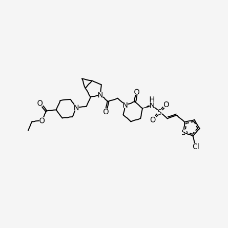 CCOC(=O)C1CCN(CC2C3CC3CN2C(=O)CN2CCC[C@H](NS(=O)(=O)/C=C/c3ccc(Cl)s3)C2=O)CC1